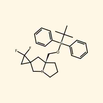 CC(C)(C)[Si](OC[C@@]12CCCN1CC1(CC1(F)F)C2)(c1ccccc1)c1ccccc1